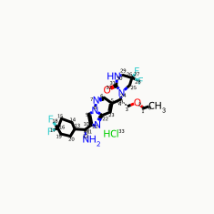 CCOC[C@H](c1cnn2cc([C@@H](N)C3CCC(F)(F)CC3)nc2c1)N1CC(F)(F)CNC1=O.Cl